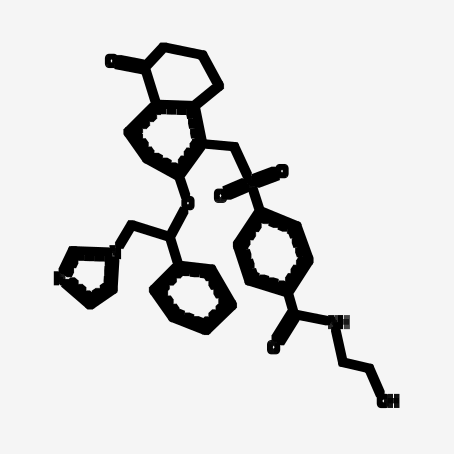 O=C(NCCO)c1ccc(S(=O)(=O)Cc2c(OC(Cn3ccnc3)c3ccccc3)ccc3c2CCCC3=O)cc1